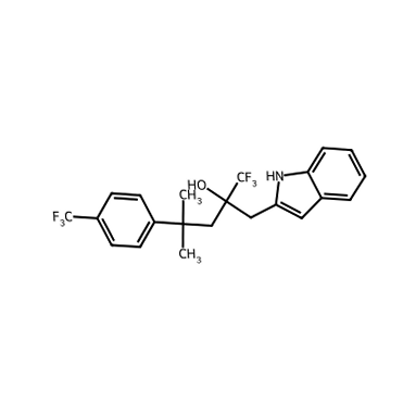 CC(C)(CC(O)(Cc1cc2ccccc2[nH]1)C(F)(F)F)c1ccc(C(F)(F)F)cc1